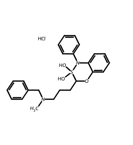 CN(CCCC1Oc2ccccc2N(c2ccccc2)S1(O)O)Cc1ccccc1.Cl